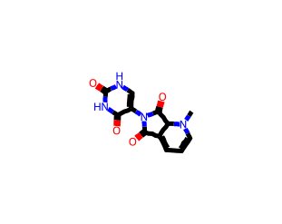 CN1C=CC=C2C(=O)N(c3c[nH]c(=O)[nH]c3=O)C(=O)C21